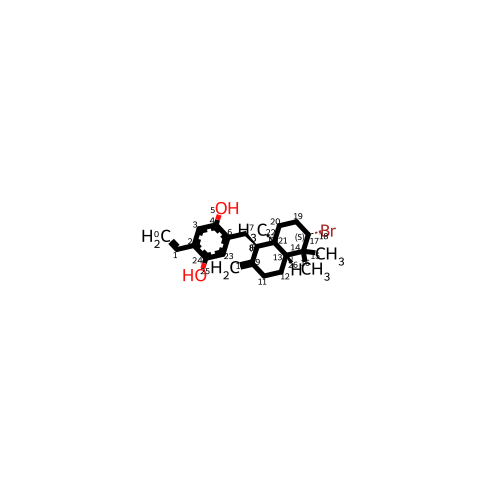 C=Cc1cc(O)c(C[C@@H]2C(=C)CC[C@H]3C(C)(C)[C@@H](Br)CC[C@]23C)cc1O